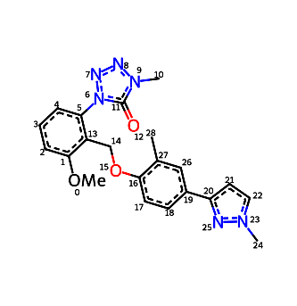 COc1cccc(-n2nnn(C)c2=O)c1COc1ccc(-c2ccn(C)n2)cc1C